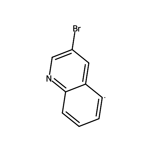 Brc1cnc2ccc[c]c2c1